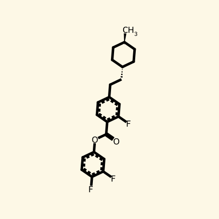 C[C@H]1CC[C@H](CCc2ccc(C(=O)Oc3ccc(F)c(F)c3)c(F)c2)CC1